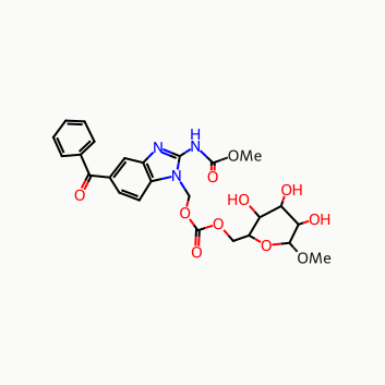 COC(=O)Nc1nc2cc(C(=O)c3ccccc3)ccc2n1COC(=O)OCC1OC(OC)C(O)C(O)C1O